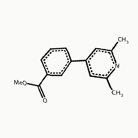 COC(=O)c1cccc(-c2cc(C)nc(C)c2)c1